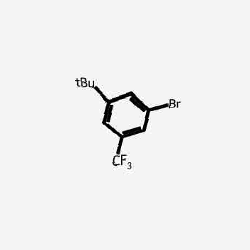 CC(C)(C)c1cc(Br)cc(C(F)(F)F)c1